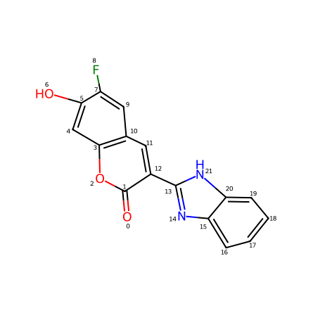 O=c1oc2cc(O)c(F)cc2cc1-c1nc2ccccc2[nH]1